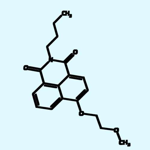 CCCCN1C(=O)c2cccc3c(OCCOC)ccc(c23)C1=O